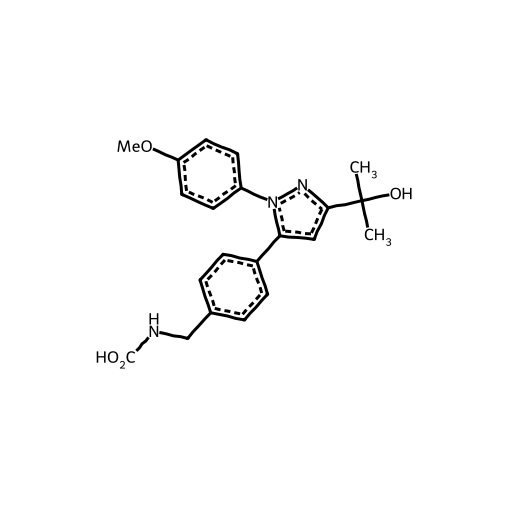 COc1ccc(-n2nc(C(C)(C)O)cc2-c2ccc(CNC(=O)O)cc2)cc1